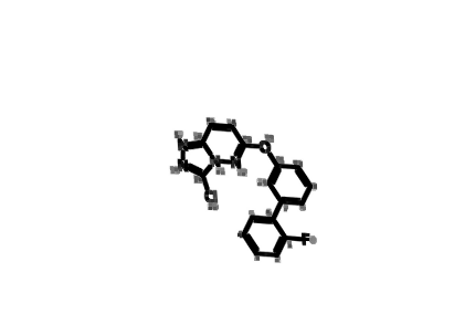 Fc1ccccc1-c1cccc(Oc2ccc3nnc(Cl)n3n2)c1